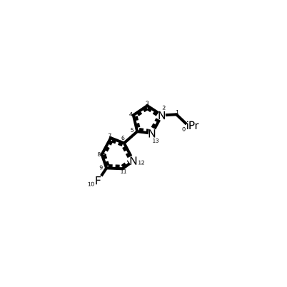 CC(C)Cn1ccc(-c2ccc(F)cn2)n1